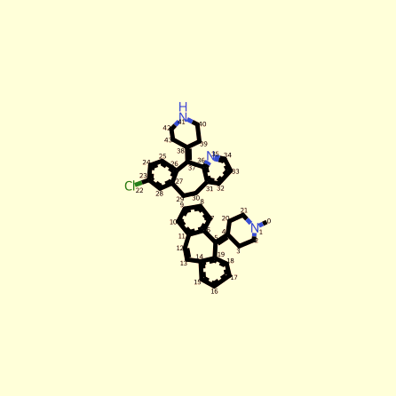 CN1CCC(=C2c3ccccc3C=Cc3ccccc32)CC1.Clc1ccc2c(c1)CCc1cccnc1C2=C1CCNCC1